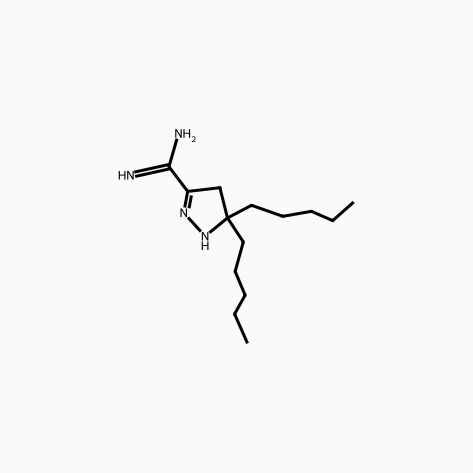 CCCCCC1(CCCCC)CC(C(=N)N)=NN1